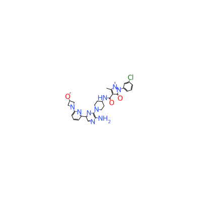 COC1CN(c2cccc(-c3cnc(N)c(N4CCC(NC(=O)c5c(C)n(C)n(-c6cccc(Cl)c6)c5=O)CC4)n3)n2)C1